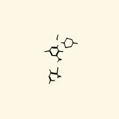 CCN(c1cc(Cl)cc(C(=O)NCc2c(C)cc(C)[nH]c2=O)c1C)C1CCC(C)CC1